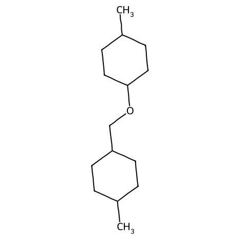 CC1CCC(COC2CCC(C)CC2)CC1